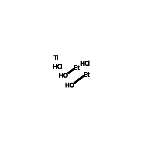 CCO.CCO.Cl.Cl.[Ti]